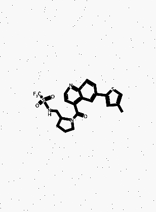 Cc1csc(-c2ccc3nccc(C(=O)N4CCCC4CNS(=O)(=O)C(F)(F)F)c3c2)c1